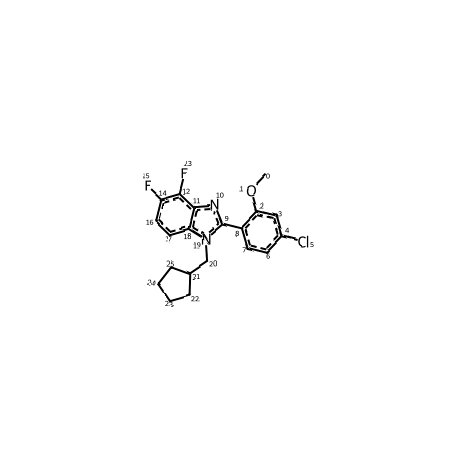 COc1cc(Cl)ccc1-c1nc2c(F)c(F)ccc2n1CC1CCCC1